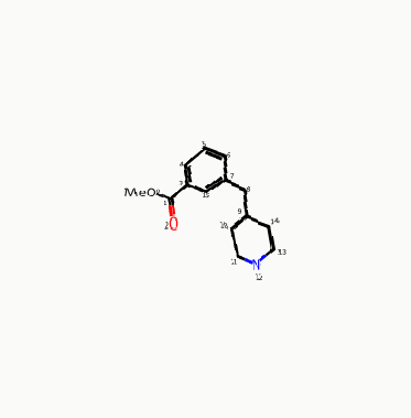 COC(=O)c1cccc(CC2CC[N]CC2)c1